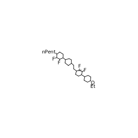 CCCCCC1CCC(C2CCC(CCC3CCC(C4CCC(OCC)CC4)C(F)[C@H]3F)CC2)C(F)C1F